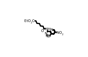 CCOC(=O)CCCCCC(=O)N/C(=N/O)c1ncc([N+](=O)[O-])cc1Cl